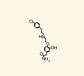 NC(=O)Cc1ccc(OCCNCCCc2ccc(Cl)cc2)c(O)c1